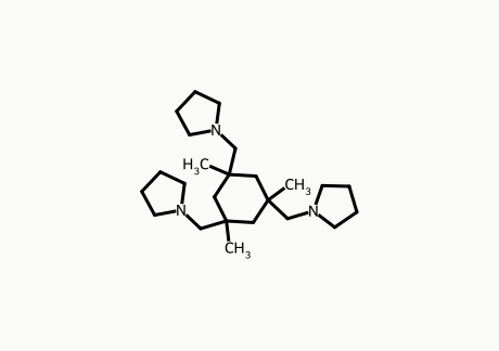 CC1(CN2CCCC2)CC(C)(CN2CCCC2)CC(C)(CN2CCCC2)C1